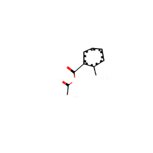 CCCCCCCC(=O)OC(=O)c1ccccc1C(=O)O